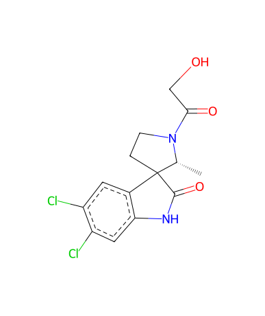 C[C@H]1N(C(=O)CO)CCC12C(=O)Nc1cc(Cl)c(Cl)cc12